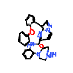 O=C(Nc1ccccc1N1CCNCC1)c1ccn2ncc(-c3ccccc3Oc3ccccc3)c2n1